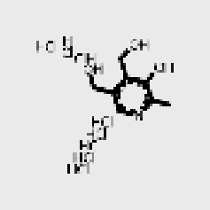 Cc1ncc(CO)c(CO)c1O.Cl.Cl.Cl.Cl.Cl.Cl.Cl.Cl